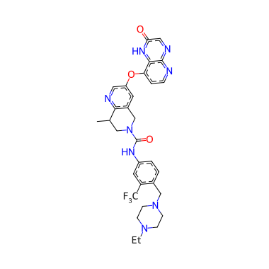 CCN1CCN(Cc2ccc(NC(=O)N3Cc4cc(Oc5ccnc6ncc(=O)[nH]c56)cnc4C(C)C3)cc2C(F)(F)F)CC1